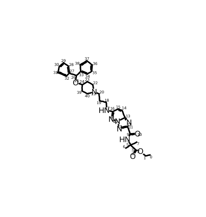 CCOC(=O)C(C)(C)NC(=O)c1nc2ccc(NCCCN3CCC(OC(c4ccccc4)c4ccccc4)CC3)nn2n1